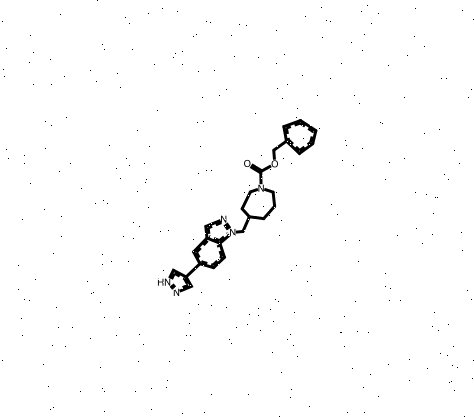 O=C(OCc1ccccc1)N1CCCC(Cn2ncc3cc(-c4cn[nH]c4)ccc32)CC1